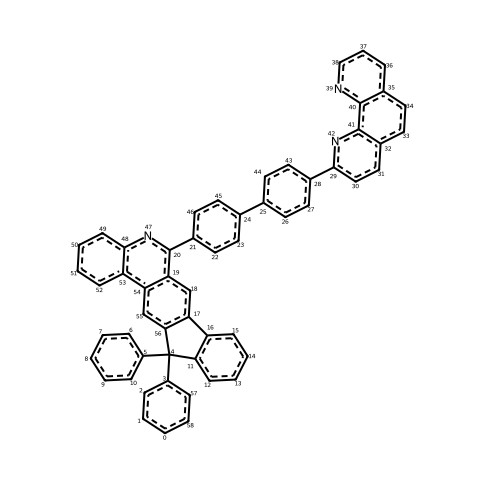 c1ccc(C2(c3ccccc3)c3ccccc3-c3cc4c(-c5ccc(-c6ccc(-c7ccc8ccc9cccnc9c8n7)cc6)cc5)nc5ccccc5c4cc32)cc1